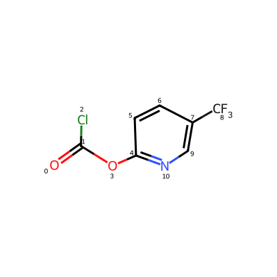 O=C(Cl)Oc1ccc(C(F)(F)F)cn1